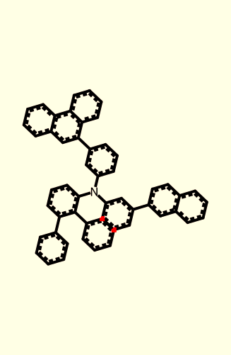 c1ccc(-c2cccc(N(c3cccc(-c4ccc5ccccc5c4)c3)c3cccc(-c4cc5ccccc5c5ccccc45)c3)c2-c2ccccc2)cc1